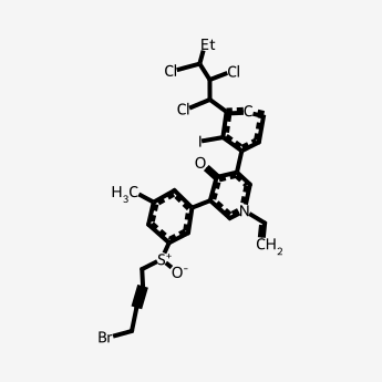 C=Cn1cc(-c2cc(C)cc([S+]([O-])CC#CCBr)c2)c(=O)c(-c2cccc(C(Cl)C(Cl)C(Cl)CC)c2I)c1